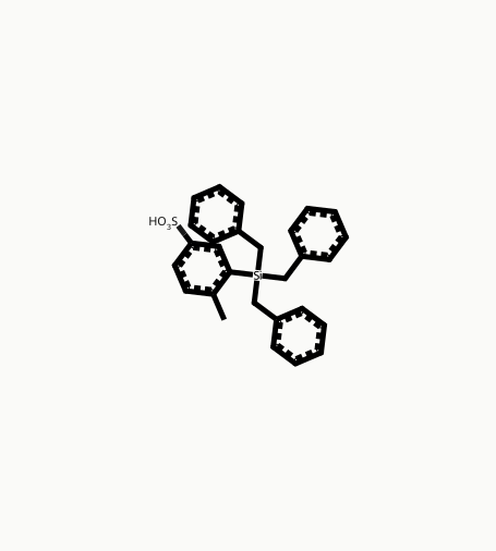 Cc1ccc(S(=O)(=O)O)cc1[Si](Cc1ccccc1)(Cc1ccccc1)Cc1ccccc1